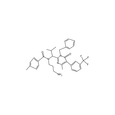 Cc1ccc(C(=O)N(CCCN)C(c2nc(C)c(-c3cccc(C(F)(F)F)c3)c(=O)n2Cc2ccccc2)C(C)C)cc1